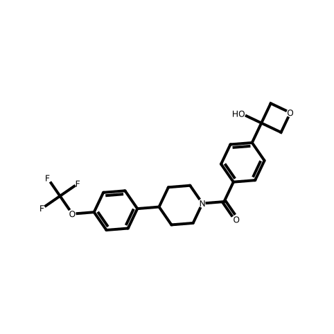 O=C(c1ccc(C2(O)COC2)cc1)N1CCC(c2ccc(OC(F)(F)F)cc2)CC1